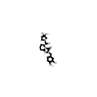 O=C([C@@H]1CCCc2nn(Cc3ccc(C(F)(F)F)c(Cl)c3)c(=O)n21)N1CCC(F)(F)C1